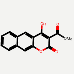 COC(=O)c1c(O)c2cc3ccccc3cc2oc1=O